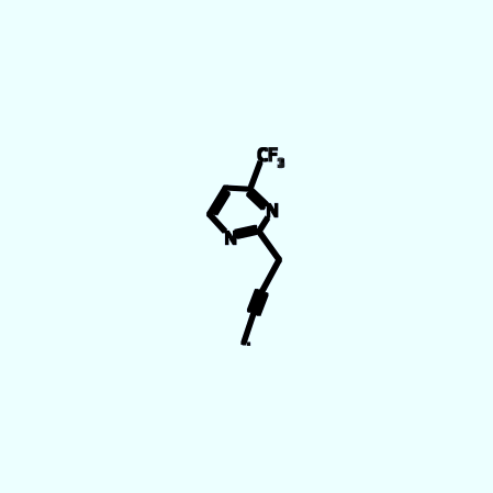 [CH2]C#CCc1nccc(C(F)(F)F)n1